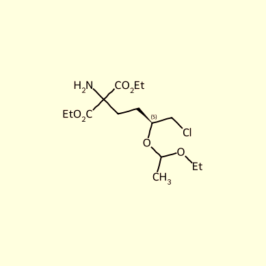 CCOC(=O)C(N)(CC[C@@H](CCl)OC(C)OCC)C(=O)OCC